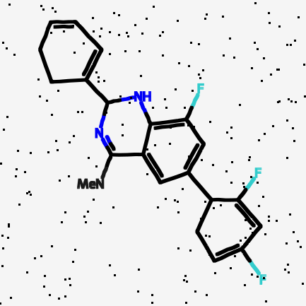 CNC1=NC(C2=CC=CCC2)Nc2c(F)cc(C3CC=C(F)C=C3F)cc21